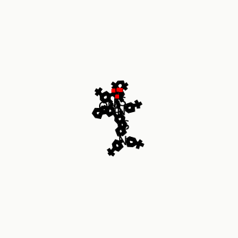 CC(C)(C)c1ccc(N2B3c4sc5cc6c(cc5c4N(c4ccc(C(C)(C)C)cc4-c4ccccc4)c4c3c(cc3c4oc4ccccc43)-c3cc4c(cc32)sc2cc(N(c3ccc(C(C)(C)C)cc3)c3ccc(C(C)(C)C)cc3)ccc24)C(C)(C)CCC6(C)C)cc1